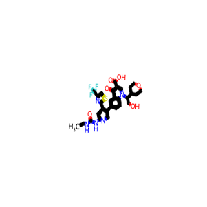 CCNC(=O)Nc1cc(-c2nc(C(F)(F)F)cs2)c(-c2ccc3c(c2)c(=O)c(C(=O)O)cn3C(CO)C2CCOCC2)cn1